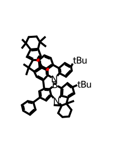 CC(C)(C)c1ccc(N2B3c4cc(C(C)(C)C)cc5c4N(c4cc(-c6ccccc6)cc(c43)-c3cc4c(cc32)-c2cc3c(cc2C4(C)C)C(C)(C)CCC3(C)C)C2(C)CCCCC52C)c(-c2ccccc2)c1